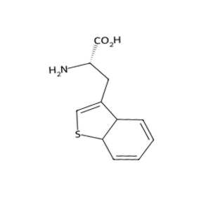 N[C@@H](CC1=CSC2C=CC=CC12)C(=O)O